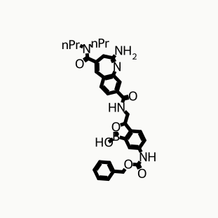 CCCN(CCC)C(=O)C1=Cc2ccc(C(=O)NCC3OB(O)c4cc(NC(=O)OCc5ccccc5)ccc43)cc2N=C(N)C1